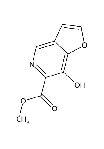 COC(=O)c1ncc2ccoc2c1O